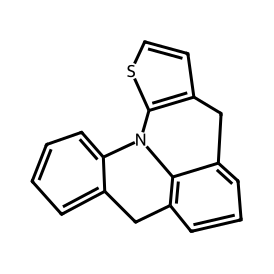 c1ccc2c(c1)Cc1cccc3c1N2c1sccc1C3